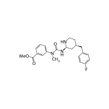 COC(=O)c1cccc(N(C)C(=O)N[C@@H]2C[C@H](Cc3ccc(F)cc3)CCN2)c1